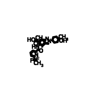 CC(C)(O)c1cc2nn([C@H]3CC[C@@](C)(O)CC3)cc2cc1NC(=O)c1cccc(C(C)(F)F)n1